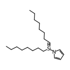 CCCCCCCC[SiH](CCCCCCCC)n1cccc1